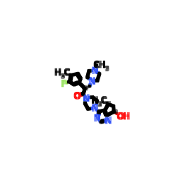 Cc1ccc([C@H](CN2CCN(C)CC2)C(=O)N2CCN(c3ncnc4c3[C@H](C)C[C@H]4O)CC2)cc1F